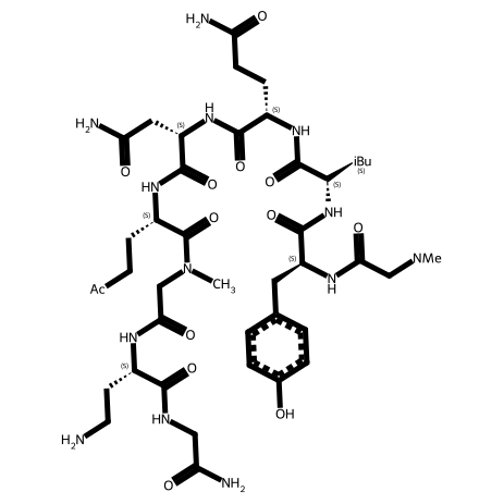 CC[C@H](C)[C@H](NC(=O)[C@H](Cc1ccc(O)cc1)NC(=O)CNC)C(=O)N[C@@H](CCC(N)=O)C(=O)N[C@@H](CC(N)=O)C(=O)N[C@@H](CCC(C)=O)C(=O)N(C)CC(=O)N[C@@H](CCN)C(=O)NCC(N)=O